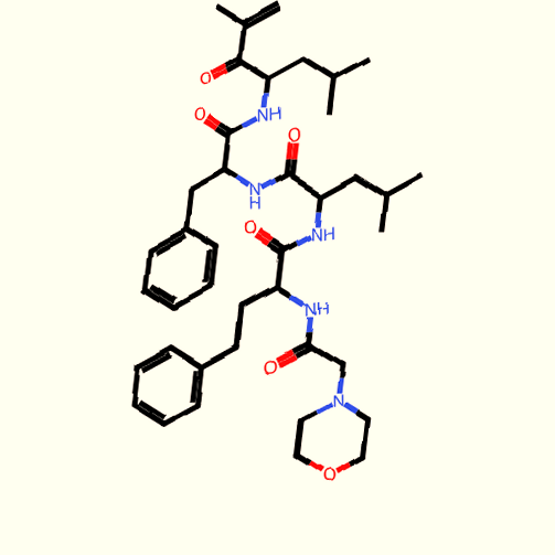 C=C(C)C(=O)C(CC(C)C)NC(=O)C(Cc1ccccc1)NC(=O)C(CC(C)C)NC(=O)C(CCc1ccccc1)NC(=O)CN1CCOCC1